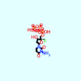 Nn1c(=O)ccn(C2=C[C@H](O)[C@@](CF)(COP(=O)(O)OP(=O)(O)OP(=O)(O)O)O2)c1=O